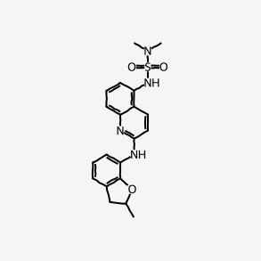 CC1Cc2cccc(Nc3ccc4c(NS(=O)(=O)N(C)C)cccc4n3)c2O1